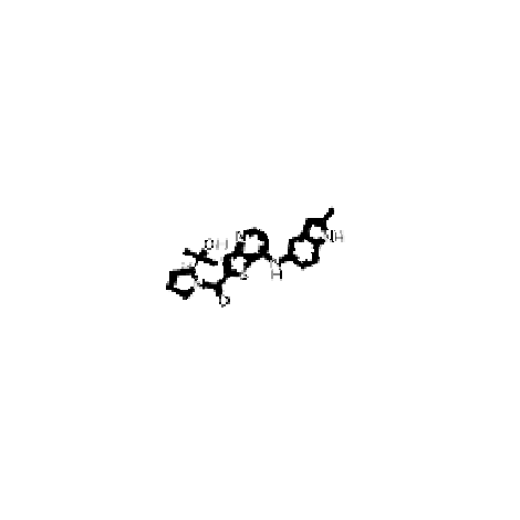 Cc1cc2cc(Nc3ccnc4cc(C(=O)N5CCC[C@H]5C(C)(C)O)sc34)ccc2[nH]1